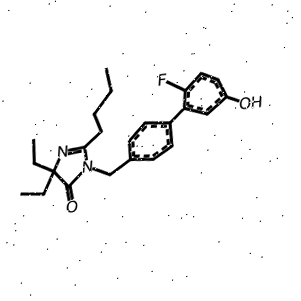 CCCCC1=NC(CC)(CC)C(=O)N1Cc1ccc(-c2cc(O)ccc2F)cc1